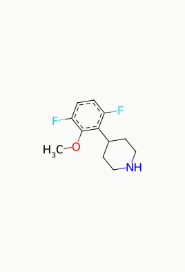 COc1c(F)ccc(F)c1C1CCNCC1